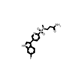 CN(CCC(N)=O)S(=O)(=O)c1ccc(-c2c[nH]c3cc(F)ccc23)cn1